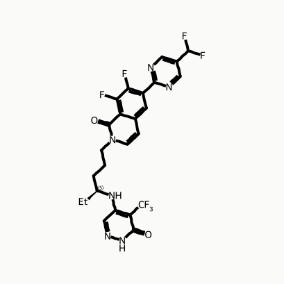 CC[C@@H](CCCn1ccc2cc(-c3ncc(C(F)F)cn3)c(F)c(F)c2c1=O)Nc1cn[nH]c(=O)c1C(F)(F)F